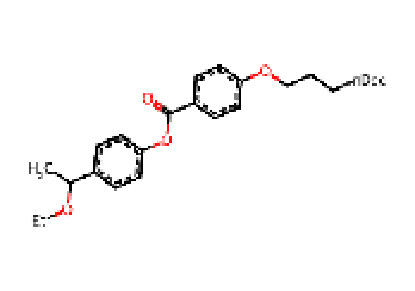 CCCCCCCCCCCCCOc1ccc(C(=O)Oc2ccc(C(C)OCC)cc2)cc1